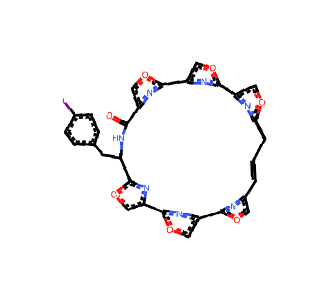 O=C1NC(Cc2ccc(I)cc2)c2nc(co2)-c2nc(co2)-c2nc(co2)/C=C/Cc2nc(co2)-c2nc(co2)-c2nc1co2